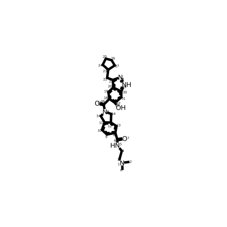 CN(C)CCNC(=O)c1ccc2c(c1)CN(C(=O)c1cc3c(CC4CCCC4)n[nH]c3cc1O)C2